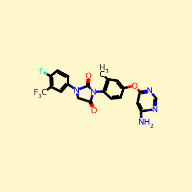 Cc1cc(Oc2cc(N)ncn2)ccc1N1C(=O)CN(c2ccc(F)c(C(F)(F)F)c2)C1=O